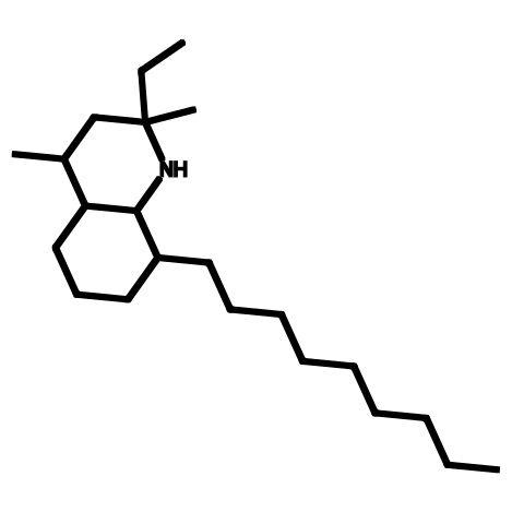 CCCCCCCCCC1CCCC2C(C)CC(C)(CC)NC12